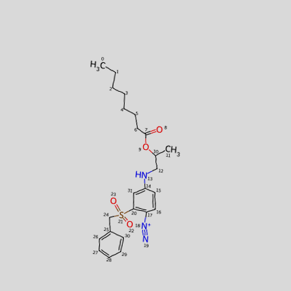 CCCCCCCC(=O)OC(C)CNc1ccc([N+]#N)c(S(=O)(=O)Cc2ccccc2)c1